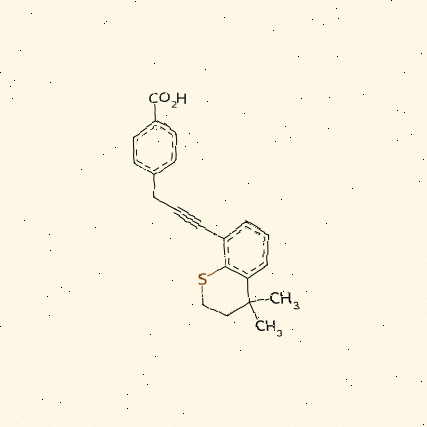 CC1(C)CCSc2c(C#CCc3ccc(C(=O)O)cc3)cccc21